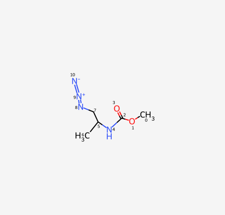 COC(=O)NC(C)CN=[N+]=[N-]